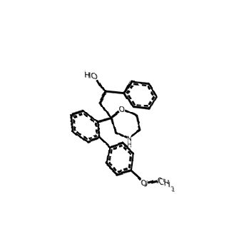 COc1ccc(-c2ccccc2C2(CC(O)c3ccccc3)CNCCO2)cc1